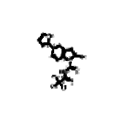 O=C1Cc2cc(-c3ccco3)ccc2N1C(=O)NC(=O)C(Cl)(Cl)Cl